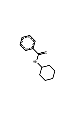 O=C(NC1CCCCC1)c1[c]cccc1